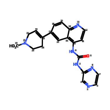 O=C(Nc1cnccn1)Nc1ccnc2ccc(C3=CCN(C(=O)O)CC3)cc12